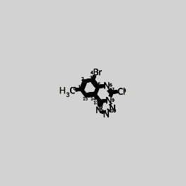 Cc1cc(Br)c2nc(Cl)n3nnnc3c2c1